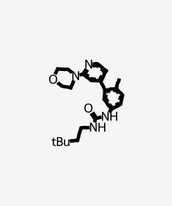 Cc1ccc(NC(=O)NCCC(C)(C)C)cc1-c1ccnc(N2CCOCC2)c1